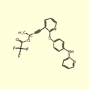 C[C@@H](C#Cc1cccnc1Oc1ccc(Nc2ccccn2)cc1)OC(=O)C(F)(F)F